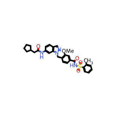 COc1cc(C(=O)NS(=O)(=O)c2ccccc2C)ccc1Cn1ncc2ccc(NC(=O)CC3CCCC3)cc21